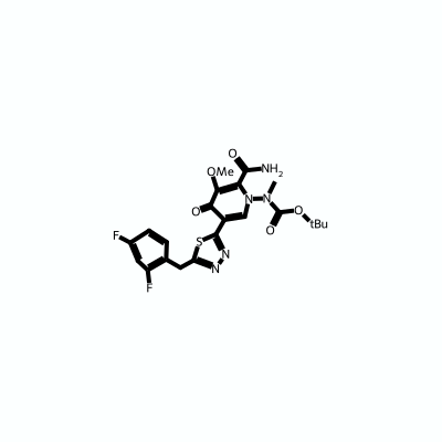 COc1c(C(N)=O)n(N(C)C(=O)OC(C)(C)C)cc(-c2nnc(Cc3ccc(F)cc3F)s2)c1=O